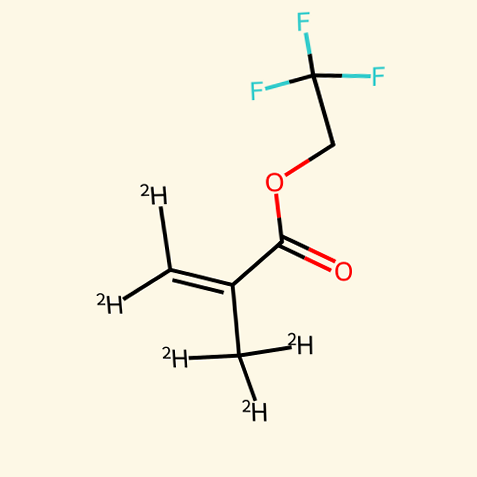 [2H]C([2H])=C(C(=O)OCC(F)(F)F)C([2H])([2H])[2H]